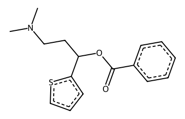 CN(C)CCC(OC(=O)c1ccccc1)c1cccs1